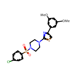 COc1cc(OC)cc(-c2csc(N3CCN(S(=O)(=O)c4ccc(Cl)cc4)CC3)n2)c1